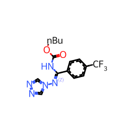 CCCCOC(=O)N/C(=N\n1cnnc1)c1ccc(C(F)(F)F)cc1